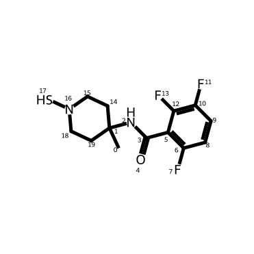 CC1(NC(=O)c2c(F)ccc(F)c2F)CCN(S)CC1